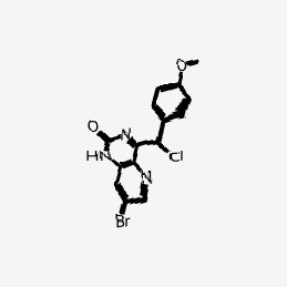 COc1ccc(C(Cl)c2nc(=O)[nH]c3cc(Br)cnc23)cc1